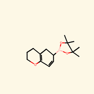 CC1(C)OB(C2C=CC3=C(CCCO3)C2)OC1(C)C